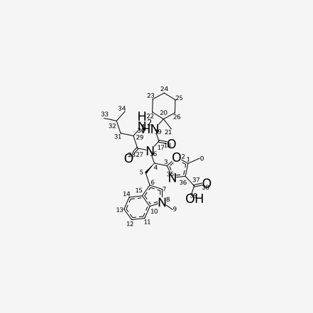 Cc1oc([C@@H](Cc2cn(C)c3ccccc23)N(C(=O)NC2(C)CCCCC2)C(=O)C(N)CC(C)C)nc1C(=O)O